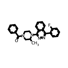 CC1CN(C(=O)c2ccccc2)CCN1c1nnc(-c2ccccc2F)c2ccccc12